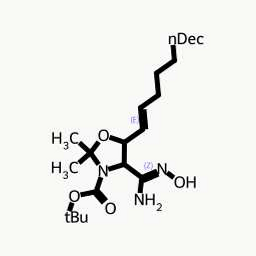 CCCCCCCCCCCCC/C=C/C1OC(C)(C)N(C(=O)OC(C)(C)C)C1/C(N)=N/O